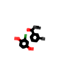 CCc1cccc(C(=O)OC)c1.Oc1ccc(O)c(F)c1